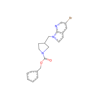 O=C(OCc1ccccc1)N1CCC(Cn2ccc3cc(Br)cnc32)C1